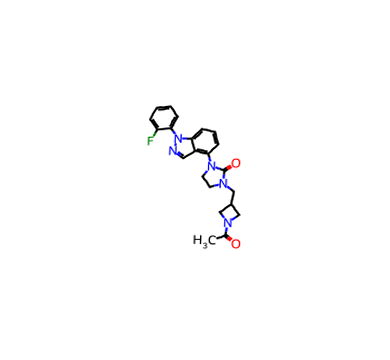 CC(=O)N1CC(CN2CCN(c3cccc4c3cnn4-c3ccccc3F)C2=O)C1